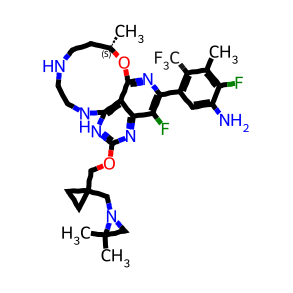 Cc1c(F)c(N)cc(-c2nc3c4c(nc(OCC5(CN6CC6(C)C)CC5)nc4c2F)NCCNCC[C@H](C)O3)c1C(F)(F)F